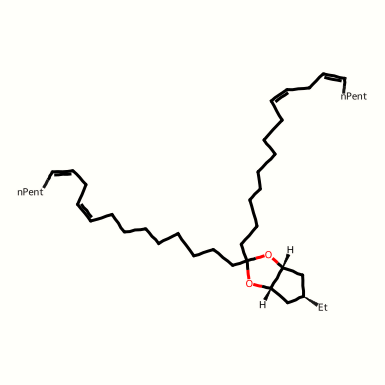 CCCCC/C=C\C/C=C\CCCCCCCCC1(CCCCCCCC/C=C\C/C=C\CCCCC)O[C@H]2C[C@H](CC)C[C@H]2O1